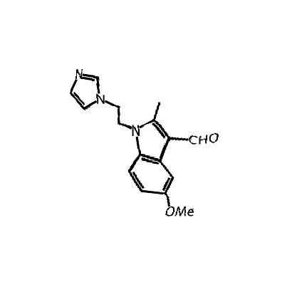 COc1ccc2c(c1)c(C=O)c(C)n2CCn1ccnc1